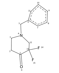 O=C1CCN(Cc2ccccc2)CC1(F)F